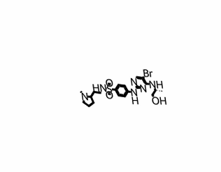 C[C@H](CO)Nc1nc(Nc2ccc(S(=O)(=O)NCCC3CCCN3C)cc2)ncc1Br